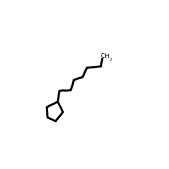 CCCCCCC[C]1CCCC1